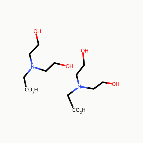 O=C(O)CN(CCO)CCO.O=C(O)CN(CCO)CCO